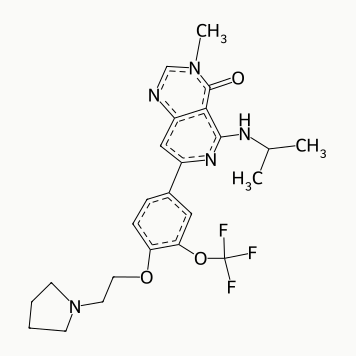 CC(C)Nc1nc(-c2ccc(OCCN3CCCC3)c(OC(F)(F)F)c2)cc2ncn(C)c(=O)c12